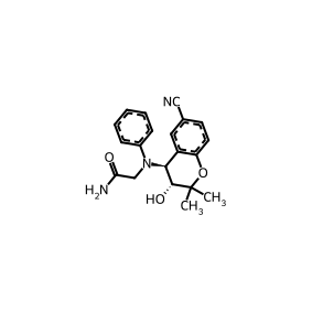 CC1(C)Oc2ccc(C#N)cc2[C@H](N(CC(N)=O)c2ccccc2)[C@H]1O